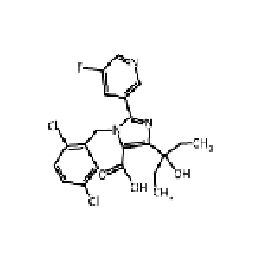 CCC(O)(CC)c1nc(-c2cncc(F)c2)n(Cc2cc(Cl)ccc2Cl)c1C(=O)O